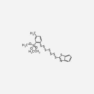 CO[Si](OC)(OC)c1cc(C)ccc1SSSSSSSc1nc2ccccc2s1